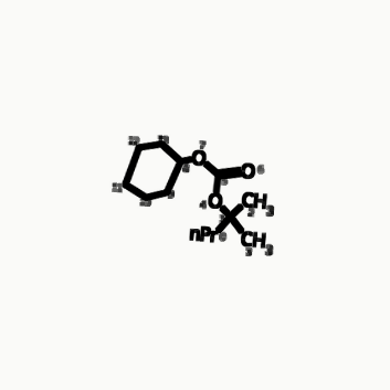 CCCC(C)(C)OC(=O)OC1CCCCC1